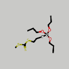 CCCO[Si](CCCSC(=S)SC)(OCCC)OCCC